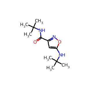 CC(C)(C)NC(=O)c1cc(NC(C)(C)C)on1